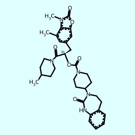 Cc1cc(C[C@@H](OC(=O)N2CCC(N3CCc4ccccc4NC3=O)CC2)C(=O)N2CCC(C)CC2)cc2oc(=O)n(C)c12